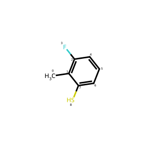 Cc1c(F)cccc1S